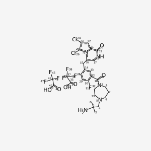 CC(C)(N)CN1CCCN(C(=O)c2cc(Cc3c[nH]c(=O)c4cc(Cl)c(Cl)n34)ccc2F)CC1.O=C(O)C(F)(F)F.O=C(O)C(F)(F)F